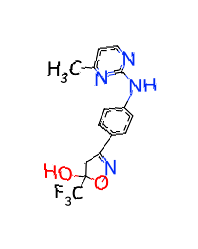 Cc1ccnc(Nc2ccc(C3=NOC(O)(C(F)(F)F)C3)cc2)n1